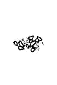 CC1(C)c2ccccc2-c2c3c(c4c(c21)c1ccccc1n4-c1ccc(-c2ccc4c5c(cccc25)-c2ccccc2-4)cc1)C(C)(C)c1ccccc1-3